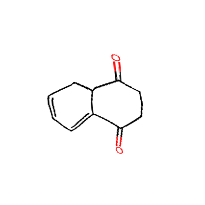 O=C1CCC(=O)C2CC=CC=C12